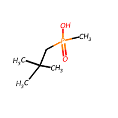 CC(C)(C)CP(C)(=O)O